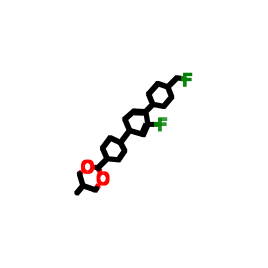 CC1COC(C2CCC(C3C=C(F)C(C4CCC(CF)CC4)=CC3)CC2)OC1